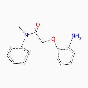 CN(C(=O)COc1ccccc1N)c1ccccc1